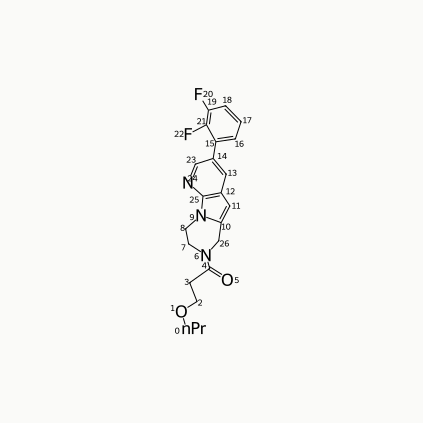 CCCOCCC(=O)N1CCn2c(cc3cc(-c4cccc(F)c4F)cnc32)C1